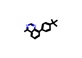 Cc1ncnc2c(-c3ccc(C(C)(C)C)cc3)cccc12